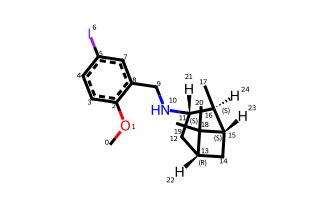 COc1ccc(I)cc1CN[C@H]1C[C@H]2C[C@@H]([C@@H]1C)C2(C)C